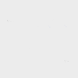 COc1ccc(C(=O)OCc2c(-c3cc(F)ccc3OC)ccc3c2N(C)C(=O)C(C)(C)N3)cc1